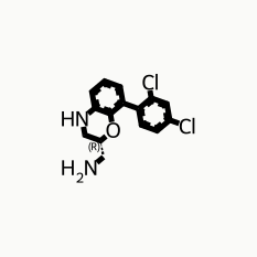 NC[C@@H]1CNc2cccc(-c3ccc(Cl)cc3Cl)c2O1